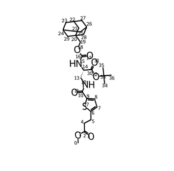 COC(=O)CCc1ccc(C(=O)NC[C@H](NC(=O)OCC23CC4CC(CC(C4)C2)C3)C(=O)OC(C)(C)C)s1